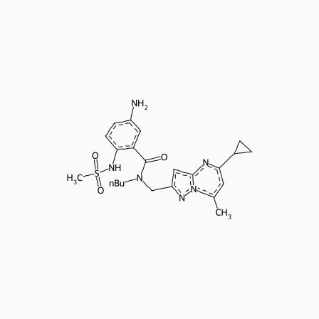 CCCCN(Cc1cc2nc(C3CC3)cc(C)n2n1)C(=O)c1cc(N)ccc1NS(C)(=O)=O